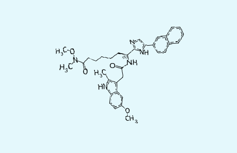 COc1ccc2[nH]c(C)c(CC(=O)N[C@@H](CCCCCC(=O)N(C)OC)c3ncc(-c4ccc5ccccc5c4)[nH]3)c2c1